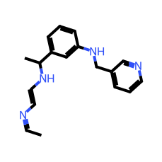 C/C=N\C=C\NC(C)c1cccc(NCc2cccnc2)c1